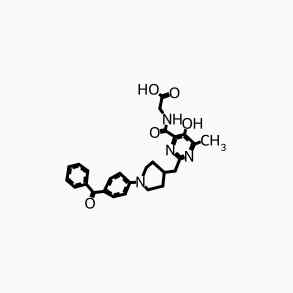 Cc1nc(CC2CCN(c3ccc(C(=O)c4ccccc4)cc3)CC2)nc(C(=O)NCC(=O)O)c1O